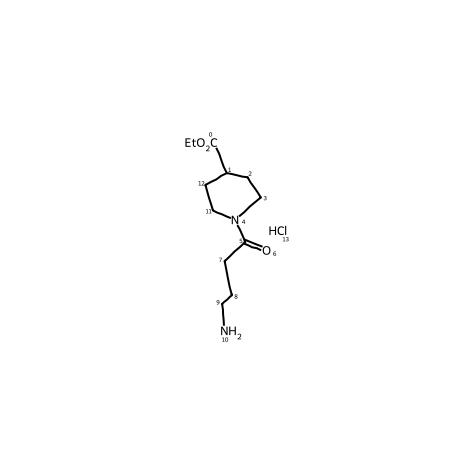 CCOC(=O)C1CCN(C(=O)CCCN)CC1.Cl